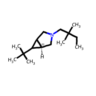 CCC(C)(C)CN1CC2C(C(C)(C)C)[C@@H]2C1